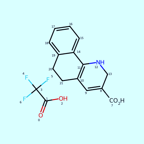 O=C(O)C(F)(F)F.O=C(O)C1=CC2=C(NC1)c1ccccc1CC2